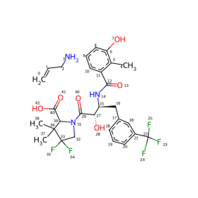 C=CCN.Cc1c(O)cccc1C(=O)N[C@@H](Cc1cccc(C(F)(F)F)c1)[C@H](O)C(=O)N1CC(F)(F)C(C)(C)C1C(=O)O